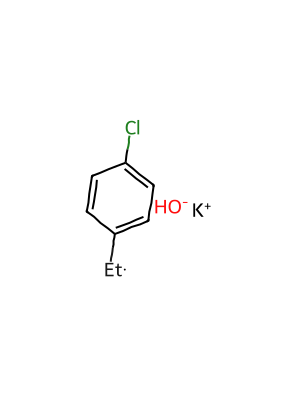 C[CH]c1ccc(Cl)cc1.[K+].[OH-]